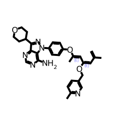 C=C(C)/C=C(\C=C(/C)Oc1ccc(-n2nc(C3CCOCC3)c3ncnc(N)c32)cc1)OCc1ccc(C)nc1